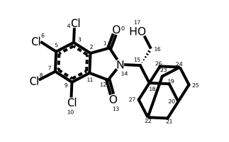 O=C1c2c(Cl)c(Cl)c(Cl)c(Cl)c2C(=O)N1[C@H](CO)C12CC3CC(CC(C3)C1)C2